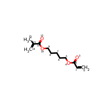 C=CC(=O)OCCCCCOC(=O)C(=C)C